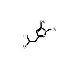 Cc1cc(CC(C)O)nn1C